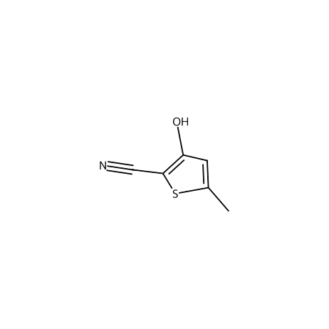 Cc1cc(O)c(C#N)s1